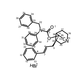 Br.O=C(O[C@@]1(CC=Cc2ccccc2)CN2CCC1CC2)N(Cc1ccccc1)c1ccccc1